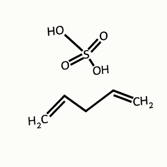 C=CCC=C.O=S(=O)(O)O